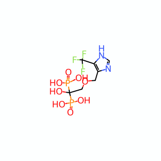 O=P(O)(O)C(O)(COCc1nc[nH]c1C(F)(F)F)P(=O)(O)O